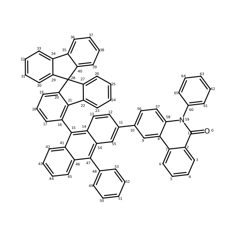 O=c1c2ccccc2c2cc(-c3ccc4c(-c5cccc6c5-c5ccccc5C65c6ccccc6-c6ccccc65)c5ccccc5c(-c5ccccc5)c4c3)ccc2n1-c1ccccc1